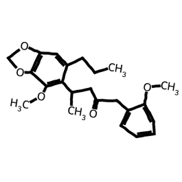 CCCc1cc2c(c(OC)c1C(C)CC(=O)Cc1ccccc1OC)OCO2